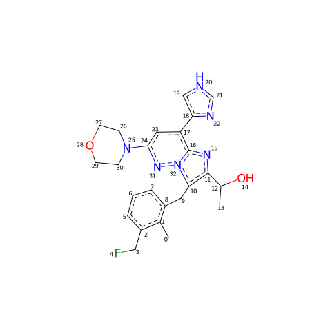 Cc1c(CF)cccc1Cc1c(C(C)O)nc2c(-c3c[nH]cn3)cc(N3CCOCC3)nn12